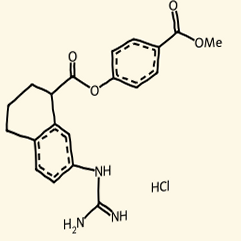 COC(=O)c1ccc(OC(=O)C2CCCc3ccc(NC(=N)N)cc32)cc1.Cl